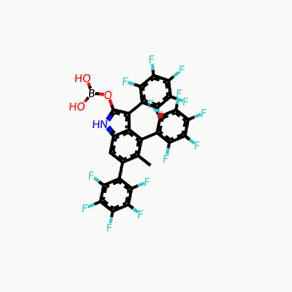 Cc1c(-c2c(F)c(F)c(F)c(F)c2F)cc2[nH]c(OB(O)O)c(-c3c(F)c(F)c(F)c(F)c3F)c2c1-c1c(F)c(F)c(F)c(F)c1F